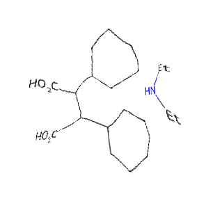 CCNCC.O=C(O)C(C1CCCCC1)C(C(=O)O)C1CCCCC1